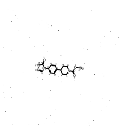 CC(C)(C)OC(=O)N1CCC(c2ccc(-n3cn[nH]c3=O)cc2)CC1